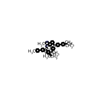 C=C/C=C\c1c(/C=C\C(=C)N(c2ccc(-c3ccc(C)cc3)cc2)c2ccc(C(C)(C)C)cc2)ccc2c(N(c3ccc(-c4ccc(C(C)(C)C)cc4)cc3)c3ccc(C(C)(C)C)cc3)cccc12